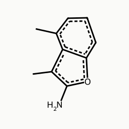 Cc1cccc2oc(N)c(C)c12